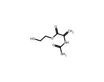 C=C(NC(N)=O)C(=O)OCCO